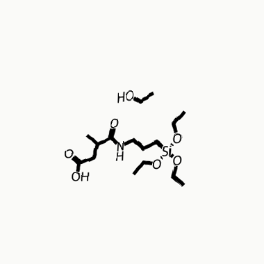 CCO.CCO[Si](CCCNC(=O)C(C)CC(=O)O)(OCC)OCC